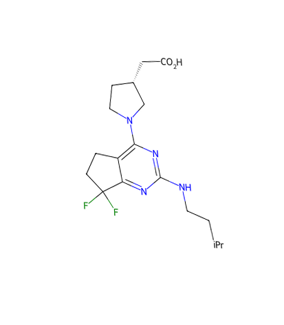 CC(C)CCNc1nc(N2CC[C@H](CC(=O)O)C2)c2c(n1)C(F)(F)CC2